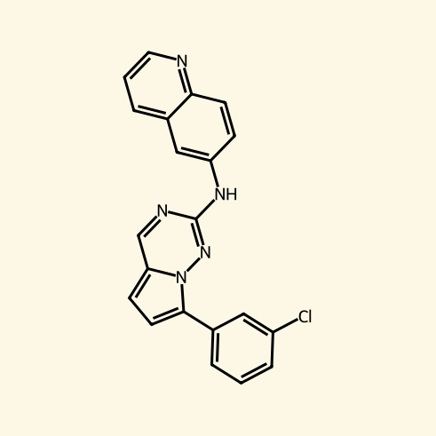 Clc1cccc(-c2ccc3cnc(Nc4ccc5ncccc5c4)nn23)c1